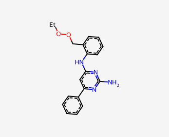 CCOOCc1ccccc1Nc1cc(-c2ccccc2)nc(N)n1